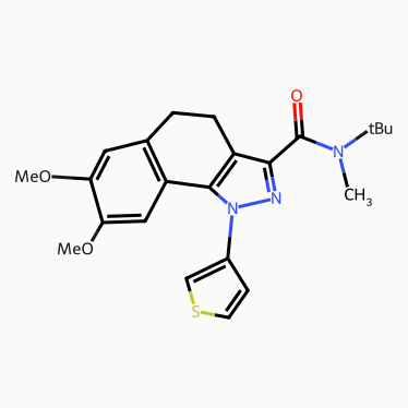 COc1cc2c(cc1OC)-c1c(c(C(=O)N(C)C(C)(C)C)nn1-c1ccsc1)CC2